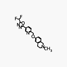 CN1CCc2cc(OCc3ccc(-c4nnc(C(F)F)o4)cn3)ccc2C1